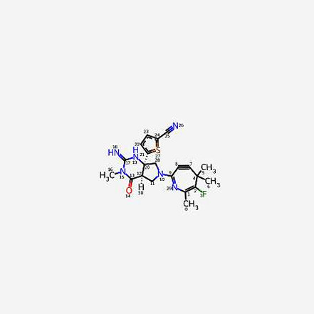 CC1=C(F)C(C)(C)C#CC(N2C[C@H]3C(=O)N(C)C(=N)N[C@@]3(c3ccc(C#N)s3)C2)=N1